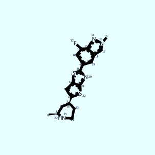 C[C@H]1C[C@@H](c2cc3sc(-c4cc(F)c5nn(C)cc5c4)nc3s2)CCN1